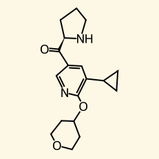 O=C(c1cnc(OC2CCOCC2)c(C2CC2)c1)[C@H]1CCCN1